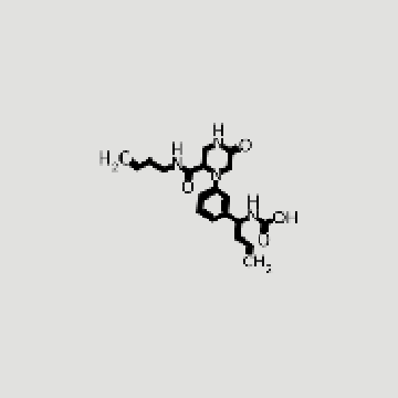 C=CCCNC(=O)C1CNC(=O)CN1c1cccc(C(CC=C)NC(=O)O)c1